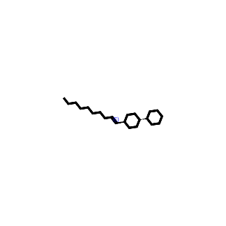 CCCCCCCC/C=C/[C@H]1CC[C@H](C2CCCCC2)CC1